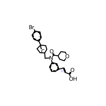 O=C(O)/C=C/c1cccc(N(CC23CCC(c4ccc(Br)cc4)(CC2)CC3)C(=O)C2CCOCC2)c1